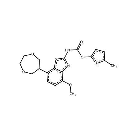 COc1ccc(C2COCCOC2)c2sc(NC(=O)Oc3ccc(C)s3)nc12